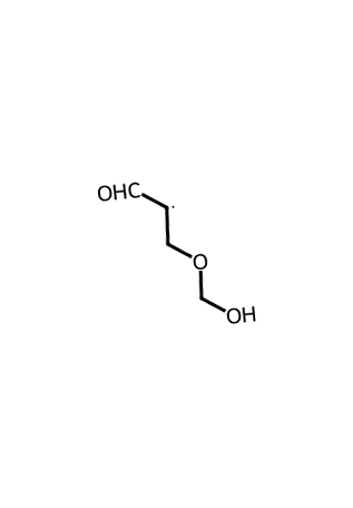 O=C[CH]COCO